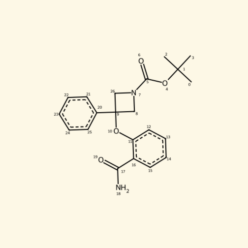 CC(C)(C)OC(=O)N1CC(Oc2ccccc2C(N)=O)(c2ccccc2)C1